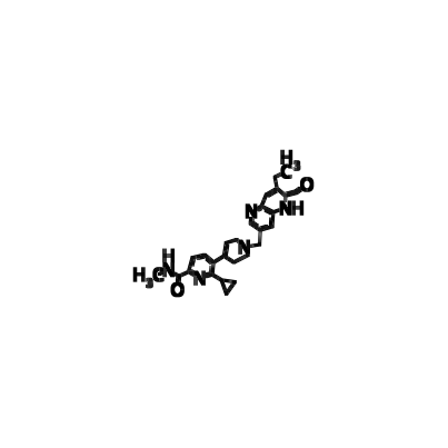 CCC1=Cc2ncc(CN3CC=C(c4ccc(C(=O)NC)nc4C4CC4)CC3)cc2NC1=C=O